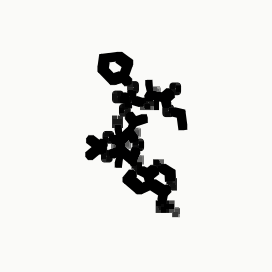 CCOC(=O)[C@H](C)NP(=O)(Oc1ccccc1)OC(C)[C@H]1O[C@@H](n2ccc3c(N)ncnc32)[C@]2(C)OC(C)(C)O[C@H]12